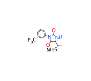 CSC(C)C1NC(=O)N(c2cccc(C(F)(F)F)c2)C1=O